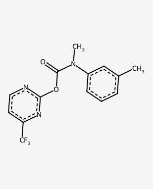 Cc1cccc(N(C)C(=O)Oc2nccc(C(F)(F)F)n2)c1